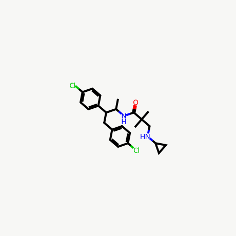 CC(NC(=O)C(C)(C)CNC1CC1)C(Cc1ccc(Cl)cc1)c1ccc(Cl)cc1